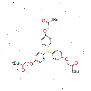 CC(C)(C)C(=O)COc1ccc([S+](c2ccc(OCC(=O)C(C)(C)C)cc2)c2ccc(OCC(=O)C(C)(C)C)cc2)cc1